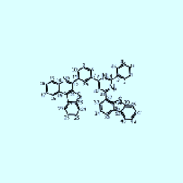 c1ccc(-c2nc(-c3cccc(-c4nc5ccccc5c5c4sc4ccccc45)c3)cc(-c3cccc4c3sc3ccccc34)n2)cc1